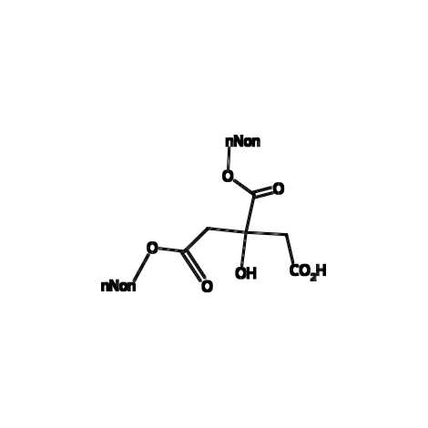 CCCCCCCCCOC(=O)CC(O)(CC(=O)O)C(=O)OCCCCCCCCC